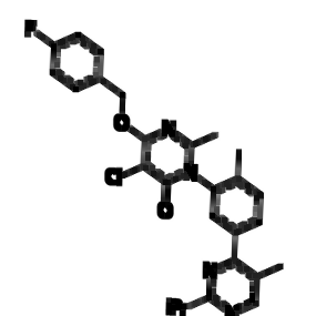 Cc1ccc(-c2nc(C(C)C)ncc2C)cc1-n1c(C)nc(OCc2ccc(F)cc2)c(Cl)c1=O